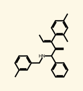 C=C(/C(=C/C)c1ccc(C)cc1C)C(NCc1cccc(C)c1)c1ccccc1